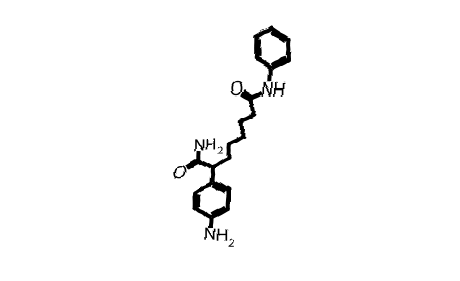 NC(=O)C(CCCCCC(=O)Nc1ccccc1)c1ccc(N)cc1